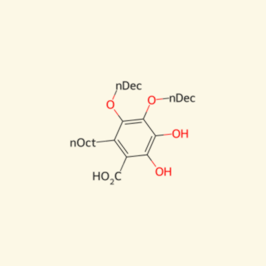 CCCCCCCCCCOc1c(O)c(O)c(C(=O)O)c(CCCCCCCC)c1OCCCCCCCCCC